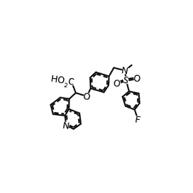 CN(Cc1ccc(OC(C(=O)O)c2cccc3ncccc23)cc1)S(=O)(=O)c1ccc(F)cc1